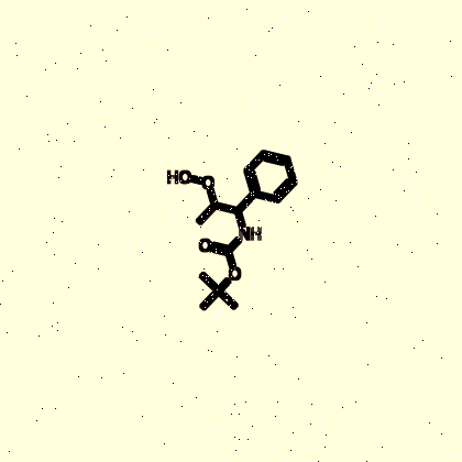 CC(OO)C(NC(=O)OC(C)(C)C)c1ccccc1